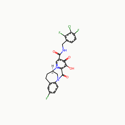 O=C(NCc1ccc(F)c(Cl)c1F)c1cn2c(c(O)c1=O)C(=O)N1C[C@H]2CCc2cc(F)ccc21